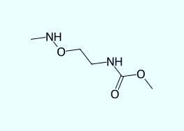 CNOCCNC(=O)OC